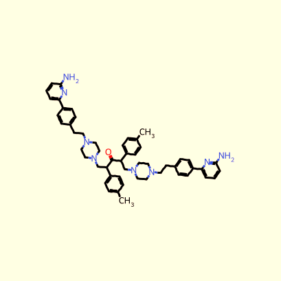 Cc1ccc(C(CN2CCN(CCc3ccc(-c4cccc(N)n4)cc3)CC2)C(=O)C(CN2CCN(CCc3ccc(-c4cccc(N)n4)cc3)CC2)c2ccc(C)cc2)cc1